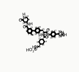 Cc1ccc(C(=O)NC2CCNC(=O)C2)cc1-c1ccc(C[C@H](NC(=O)[C@H]2CC[C@H](CNC(=O)O)CC2)C(=O)Nc2ccc(-c3nn[nH]n3)cc2)cc1